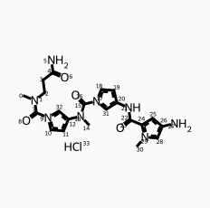 CN(CCC(N)=O)C(=O)n1ccc(N(C)C(=O)n2ccc(NC(=O)c3cc(N)cn3C)c2)c1.Cl